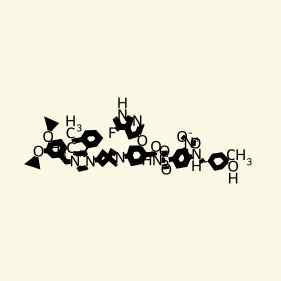 CC(C)c1ccccc1[C@@H]1CN(Cc2ccc(OC3CC3)c(OC3CC3)c2)CCN1C1CC2(C1)CN(c1ccc(C(=O)NS(=O)(=O)c3ccc(NC[C@H]4CC[C@](C)(O)CC4)c([N+](=O)[O-])c3)c(Oc3cnc4[nH]cc(F)c4c3)c1)C2